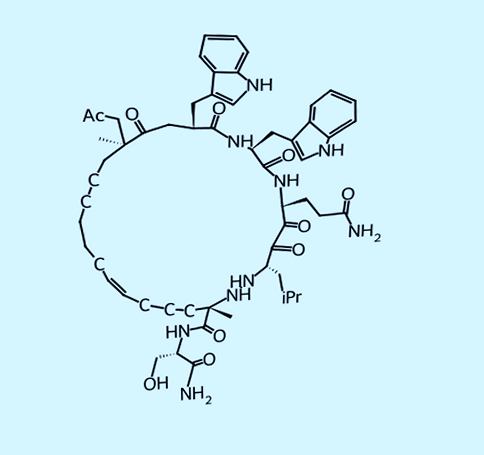 CC(=O)C[C@]1(C)CCCCCCC=CCCC[C@@](C)(C(=O)N[C@@H](CO)C(N)=O)NN[C@@H](CC(C)C)C(=O)C(=O)[C@H](CCC(N)=O)NC(=O)[C@H](Cc2c[nH]c3ccccc23)NC(=O)[C@H](Cc2c[nH]c3ccccc23)CC1=O